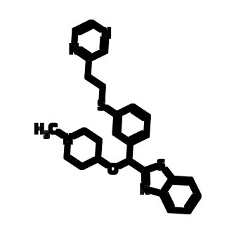 CN1CCC(OC(c2cccc(SCCc3cnccn3)c2)c2nc3ccccc3s2)CC1